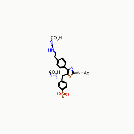 CC(=O)Nc1nc(-c2ccc(CCNC=NC(=O)O)cc2)c(Cc2ccc(S(C)(=O)=O)cc2)s1.NC(=O)O